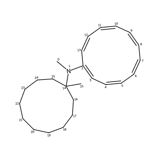 CN(C1=C/C=C\C=C/C=C\C=C/C=C\1)C1(C)CCCCCCCCCC1